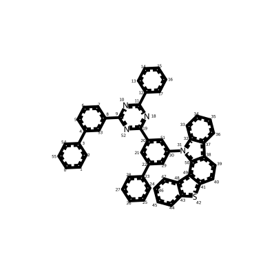 c1ccc(-c2cccc(-c3nc(-c4ccccc4)nc(-c4cc(-c5ccccc5)cc(-n5c6ccccc6c6ccc7sc8ccccc8c7c65)c4)n3)c2)cc1